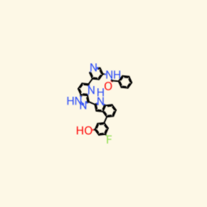 O=C(Nc1cncc(-c2ccc3[nH]nc(-c4cc5c(-c6cc(O)cc(F)c6)cccc5[nH]4)c3n2)c1)c1ccccc1